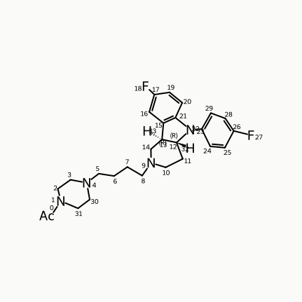 CC(=O)N1CCN(CCCCN2CC[C@@H]3[C@@H](C2)c2cc(F)ccc2N3c2ccc(F)cc2)CC1